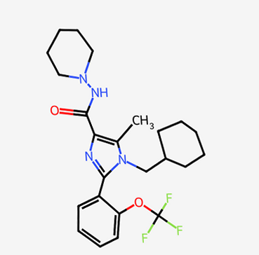 Cc1c(C(=O)NN2CCCCC2)nc(-c2ccccc2OC(F)(F)F)n1CC1CCCCC1